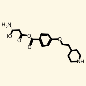 N[C@@H](O)CC(=O)OC(=O)c1ccc(OCCC2CCNCC2)cc1